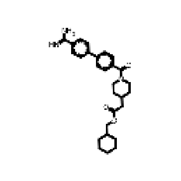 N=C(N)c1ccc(-c2ccc(C(=O)N3CCC(CC(=O)OCC4CCCCC4)CC3)cc2)cc1